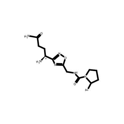 CC(=O)C1CCCN1C(=O)NCc1nc([C@@H](N)CCC(N)=O)no1